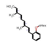 CCCCCCOc1ccccc1/C=C/C(C)=C/C=C/C(C)=C/C(=O)O